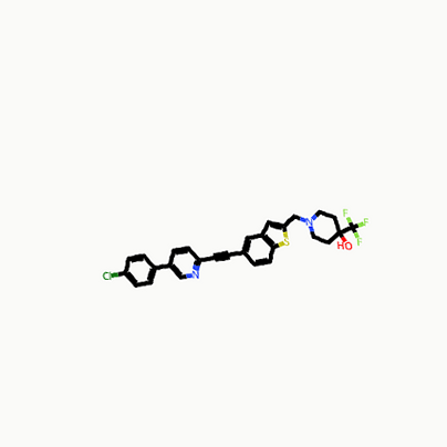 OC1(C(F)(F)F)CCN(Cc2cc3cc(C#Cc4ccc(-c5ccc(Cl)cc5)cn4)ccc3s2)CC1